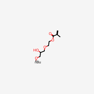 C=C(C)C(=O)OCCOCC(O)COCCCC